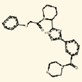 O=C(c1cccc(-c2n[nH]c(C3CCCCN3C(=O)COc3ccccc3)n2)c1)N1CCOCC1